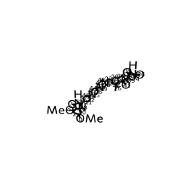 COc1cc(OC)c2c(=O)[nH]c(-c3ccc(N4CCC(N5CCN(Cc6cc(F)c7c(c6)CN(C6CCC(=O)NC6=O)C7=O)CC5)CC4)cc3)nc2c1